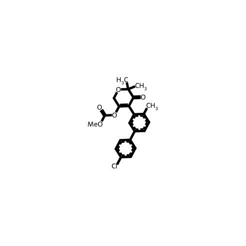 COC(=O)OC1=C(c2cc(-c3ccc(Cl)cc3)ccc2C)C(=O)C(C)(C)OC1